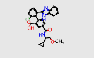 COCC(NC(=O)c1ccc(-c2c(Cl)cccc2-c2nc3ccccc3[nH]2)c(C(=O)O)c1)C1CC1